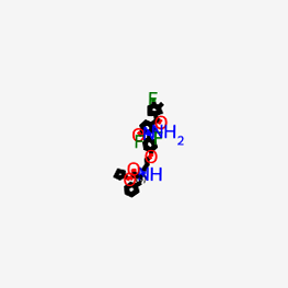 Cc1cc(C(=O)c2ccc(=O)n(-c3c(F)cc(OCCCN[C@@H](Cc4ccccc4)C(=O)OC4CCCC4)cc3F)c2N)ccc1F